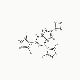 CC1=NCC(C)=C1c1cc(-c2c(C)noc2C)cc2[nH]c(C3CCC3)nc12